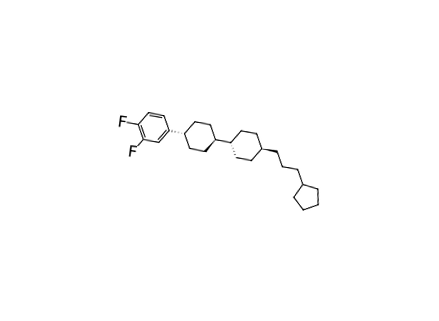 Fc1ccc([C@H]2CC[C@H]([C@H]3CC[C@H](CCCC4CCCC4)CC3)CC2)cc1F